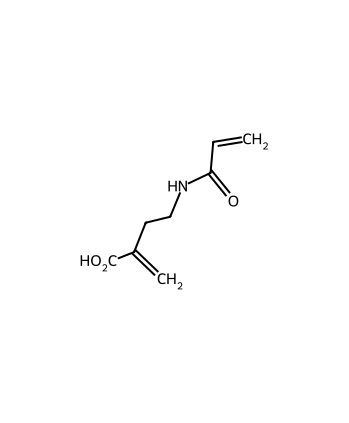 C=CC(=O)NCCC(=C)C(=O)O